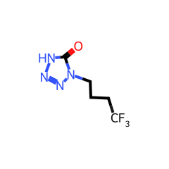 O=c1[nH]nnn1CCCC(F)(F)F